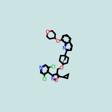 Clc1cncc(Cl)c1-c1noc(C2CC2)c1COC12CCC(c3ccc4cccc(OC5CCOCC5)c4n3)(CC1)CC2